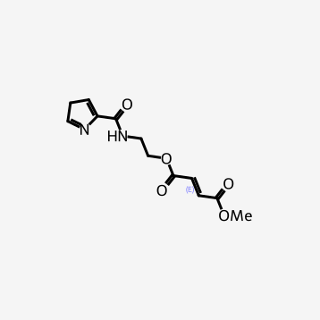 COC(=O)/C=C/C(=O)OCCNC(=O)C1=CCC=N1